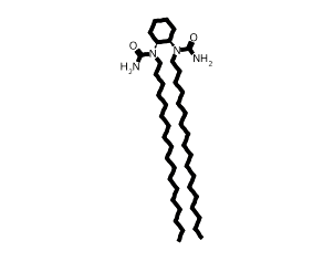 CCCCCCCCCCCCCCCCCCN(C(N)=O)[C@@H]1CCCC[C@H]1N(CCCCCCCCCCCCCCCCCC)C(N)=O